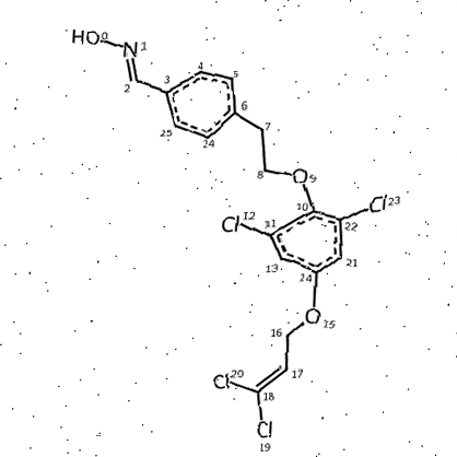 O/N=C/c1ccc(CCOc2c(Cl)cc(OCC=C(Cl)Cl)cc2Cl)cc1